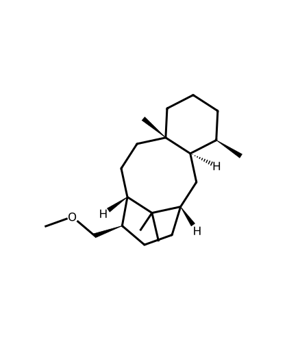 COC[C@@H]1CC[C@H]2C[C@@H]3[C@H](C)CCC[C@@]3(C)CC[C@@H]1C2(C)C